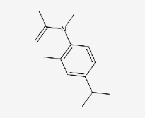 C=C(C)N(C)c1ccc(C(C)C)cc1C